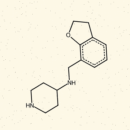 c1cc2c(c(CNC3CCNCC3)c1)OCC2